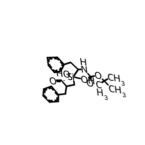 CC(C)(C)OC(=O)NC(Cc1ccccc1)[Si](O)(O)CC([C]=O)Cc1ccccc1